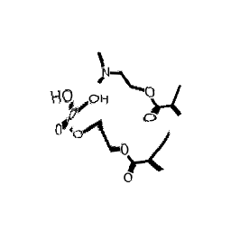 C=C(C)C(=O)OCCN(C)C.C=C(C)C(=O)OCCOP(=O)(O)O